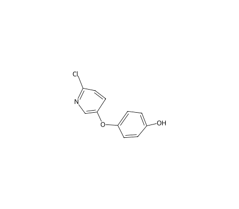 Oc1ccc(Oc2ccc(Cl)nc2)cc1